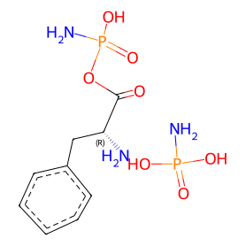 NP(=O)(O)O.N[C@H](Cc1ccccc1)C(=O)OP(N)(=O)O